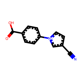 N#Cc1ccn(-c2ccc(C(=O)O)cc2)c1